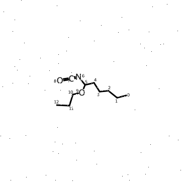 CCCCCC(N=C=O)OCCC